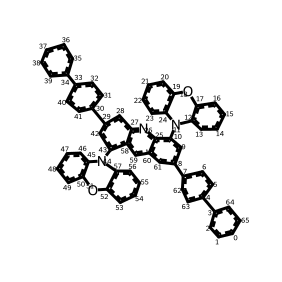 c1ccc(-c2ccc(-c3cc(N4c5ccccc5Oc5ccccc54)c4nc5cc(-c6ccc(-c7ccccc7)cc6)cc(N6c7ccccc7Oc7ccccc76)c5cc4c3)cc2)cc1